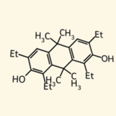 CCc1cc2c(c(CC)c1O)C(C)(C)c1c(cc(CC)c(O)c1CC)C2(C)C